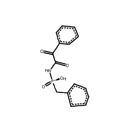 O=C(N[P@](=O)(O)Cc1ccccc1)C(=O)c1ccccc1